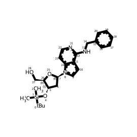 CC(C)(C)[Si](C)(C)O[C@H]1C[C@H](n2ccc3c(NCc4ccccc4)nccc32)O[C@@H]1CO